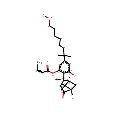 CC(C)(CCCCCCO[N+](=O)[O-])c1cc(O)c([C@H]2CC(=O)[C@H]3C[C@H]2C3(C)C)c(OC(=O)/C=C\C(=O)O)c1